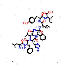 CC[C@H](C)[C@H](NC(=O)[C@H](Cc1ccc(O)cc1)NC(=O)[C@@H](NC(=O)[C@H](Cc1ccccc1)NC(=O)[C@H](CC(C)C)NC(=O)[C@H](Cc1c[nH]cn1)NC(=O)[C@H](Cc1ccccc1)NC(=O)[C@@H](N)CC(C)C)[C@@H](C)CC)C(=O)O